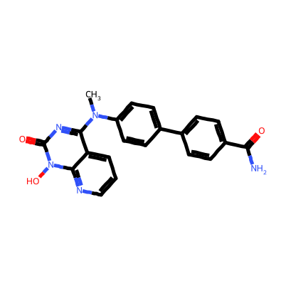 CN(c1ccc(-c2ccc(C(N)=O)cc2)cc1)c1nc(=O)n(O)c2ncccc12